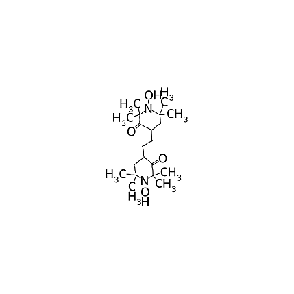 CC1(C)CC(CCC2CC(C)(C)N(O)C(C)(C)C2=O)C(=O)C(C)(C)N1O